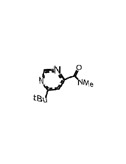 CNC(=O)c1cc(C(C)(C)C)ncn1